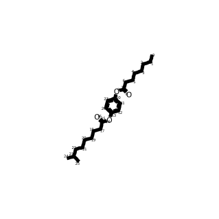 CCCCCCCC(=O)Oc1ccc(OC(=O)CCCCCCC(C)C)cc1